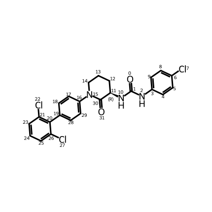 O=C(Nc1ccc(Cl)cc1)N[C@@H]1CCCN(c2ccc(-c3c(Cl)cccc3Cl)cc2)C1=O